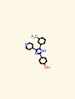 Oc1ccc(-c2nc(-c3ccncc3)c(-c3cccc(C(F)(F)F)c3)[nH]2)cc1